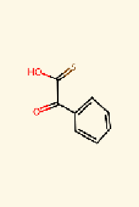 O=C(C(O)=S)c1ccccc1